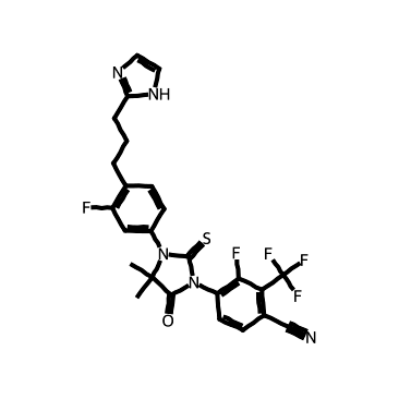 CC1(C)C(=O)N(c2ccc(C#N)c(C(F)(F)F)c2F)C(=S)N1c1ccc(CCCc2ncc[nH]2)c(F)c1